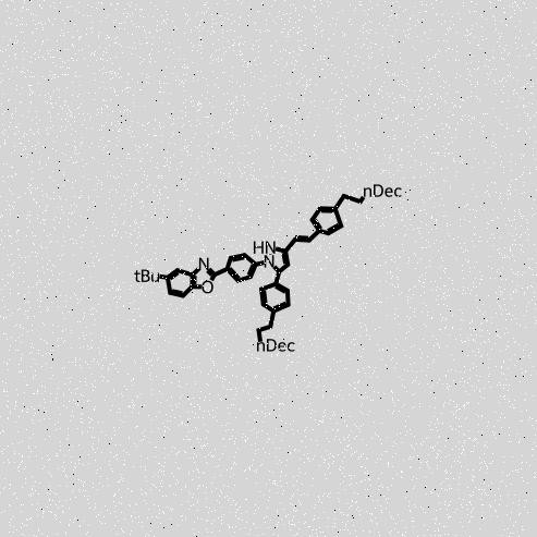 CCCCCCCCCCCCc1ccc(C=CC2=CC(c3ccc(CCCCCCCCCCCC)cc3)N(c3ccc(-c4nc5cc(C(C)(C)C)ccc5o4)cc3)N2)cc1